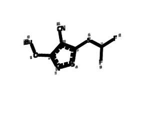 CCC(C)Oc1nsc(SC(F)F)c1C#N